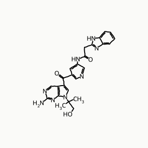 CC(C)(CO)n1cc(C(=O)c2cncc(NC(=O)Cc3nc4ccccc4[nH]3)c2)c2cnc(N)nc21